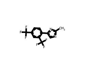 Cc1nc(-c2ccc(C(F)(F)F)cc2C(F)(F)F)cs1